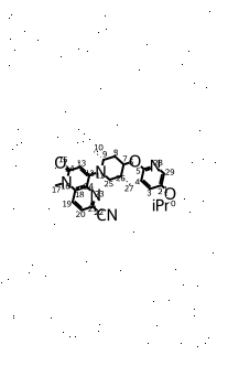 CC(C)Oc1ccc(OC2C[C@@H](C)N(c3cc(=O)n(C)c4ccc(C#N)nc34)C[C@H]2C)nc1